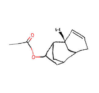 CC(=O)OC1CC2CC1[C@@H]1C=CCC21